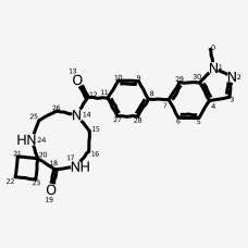 Cn1ncc2ccc(-c3ccc(C(=O)N4CCNC(=O)C5(CCC5)NCC4)cc3)cc21